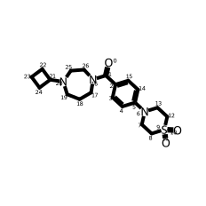 O=C(c1ccc(N2CCS(=O)(=O)CC2)cc1)N1CCCN(C2CCC2)CC1